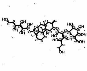 C=C1C[C@@]2(C)CCC3[C@](C)(C(=O)OC(O)/C(O)=C(\O)C(O)CCO)CCC[C@@]3(C)[C@@H]2CC1OC(O)/C(OC1OC(CO)C(O)C(O)C1O)=C(/O)C(O)CCO